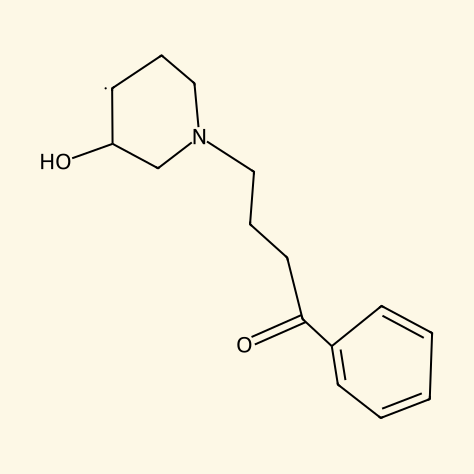 O=C(CCCN1CC[CH]C(O)C1)c1ccccc1